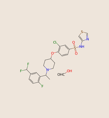 CC(c1cc(C(F)F)ccc1F)N1CCC(Oc2ccc(S(=O)(=O)Nc3cscn3)cc2Cl)CC1.O=CO